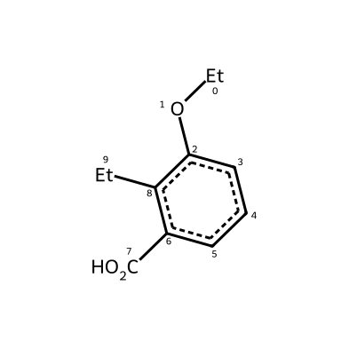 CCOc1cccc(C(=O)O)c1CC